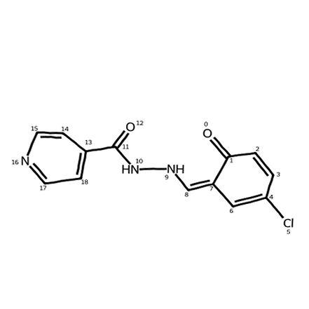 O=C1C=CC(Cl)=CC1=CNNC(=O)c1ccncc1